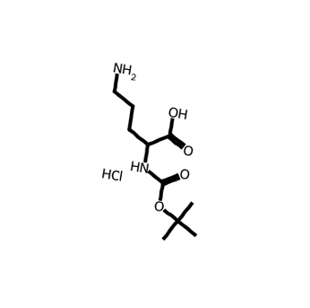 CC(C)(C)OC(=O)NC(CCCN)C(=O)O.Cl